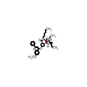 C=CCCCCN(C(=O)[C@@H]1C[C@H](Oc2cc(-c3ccccc3)nc3cc(OC)ccc23)C[C@H]1C(=O)N[C@]1(C(=O)OCC)CC1C=C)N(C)C